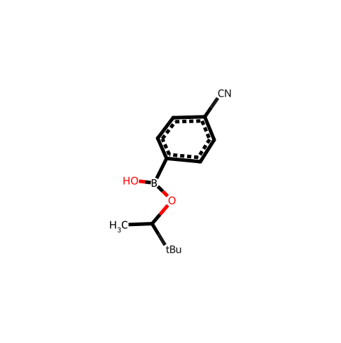 CC(OB(O)c1ccc(C#N)cc1)C(C)(C)C